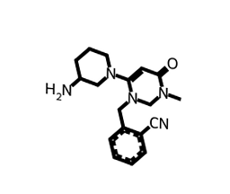 CN1CN(Cc2ccccc2C#N)C(N2CCCC(N)C2)=CC1=O